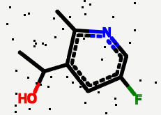 Cc1ncc(F)cc1C(C)O